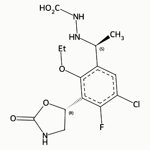 CCOc1c([C@H](C)NNC(=O)O)cc(Cl)c(F)c1[C@@H]1CNC(=O)O1